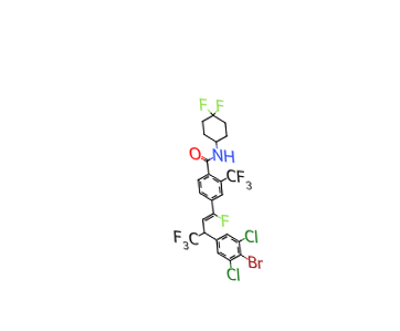 O=C(NC1CCC(F)(F)CC1)c1ccc(C(F)=CC(c2cc(Cl)c(Br)c(Cl)c2)C(F)(F)F)cc1C(F)(F)F